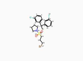 CC(c1cccc(F)c1)(c1cccc(F)c1)[C@H]1CCCN1S(=O)(=O)CCCBr